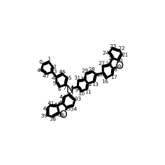 c1ccc(-c2ccc(N(c3ccc4cc(-c5ccc6oc7ccccc7c6c5)ccc4c3)c3ccc4oc5ccccc5c4c3)cc2)cc1